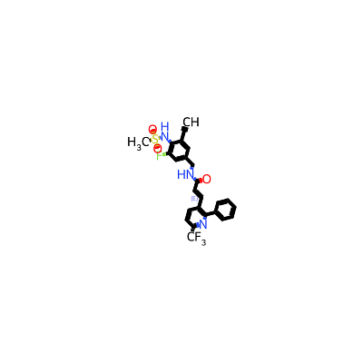 C#Cc1cc(CNC(=O)/C=C/c2ccc(C(F)(F)F)nc2-c2ccccc2)cc(F)c1NS(C)(=O)=O